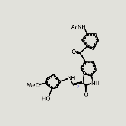 COc1ccc(N/C=C2/C(=O)Nc3ccc(C(=O)c4cccc(NC(C)=O)c4)cc32)cc1O